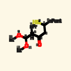 CCCCCC(S)CC(=O)[SiH](CCC)C(OCC)OCC